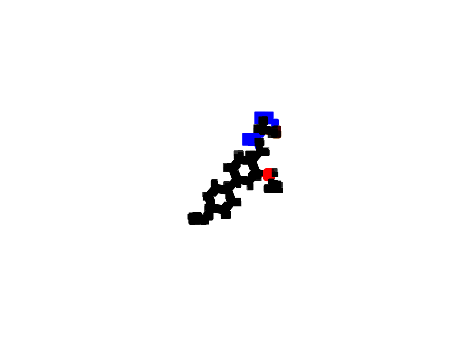 CCOc1cc(-c2ccc(C(C)(C)C)cc2)ccc1CNC(N)=S